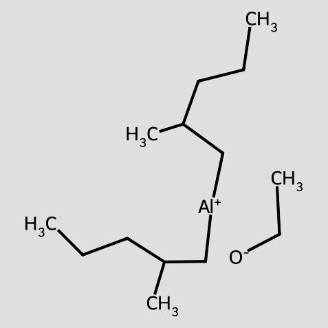 CCCC(C)[CH2][Al+][CH2]C(C)CCC.CC[O-]